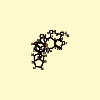 Cc1noc(C)c1C(C)OCC(=O)N1CC2CCC(C1)N2c1ccc(C#N)cn1